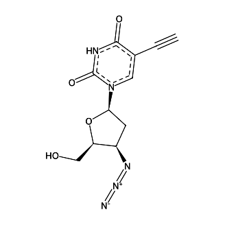 C#Cc1cn([C@H]2C[C@@H](N=[N+]=[N-])[C@@H](CO)O2)c(=O)[nH]c1=O